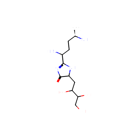 NC(CC[C@H](N)C(=O)O)C1=NC(=O)C(CC(O)C(O)CO)N1